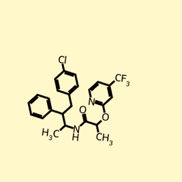 CC(Oc1cc(C(F)(F)F)ccn1)C(=O)NC(C)C(Cc1ccc(Cl)cc1)c1ccccc1